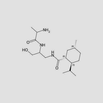 CC(N)C(=O)NC(CO)CNC(=O)[C@@H]1C[C@H](C)CC[C@H]1C(C)C